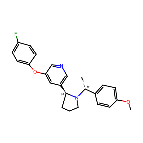 COc1ccc([C@@H](C)N2CCC[C@H]2c2cncc(Oc3ccc(F)cc3)c2)cc1